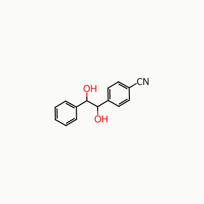 N#Cc1ccc(C(O)C(O)c2ccccc2)cc1